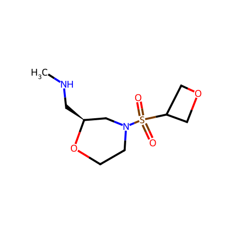 CNC[C@H]1CN(S(=O)(=O)C2COC2)CCO1